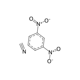 C#N.O=[N+]([O-])c1cccc([N+](=O)[O-])c1